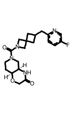 O=C1CO[C@H]2CCN(C(=O)N3CC4(CC(Cc5ccc(F)cn5)C4)C3)C[C@H]2N1